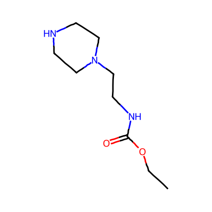 CCOC(=O)NCCN1CCNCC1